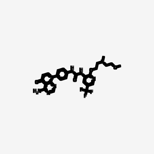 COCCN(C)CCOc1ncc(C(F)(F)F)cc1NC(=O)Nc1ccc(-n2ccc(=O)c3c(N)ncnc32)cc1